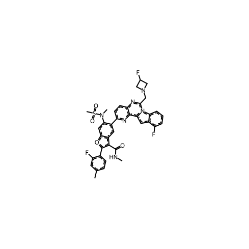 CNC(=O)c1c(-c2ccc(C)cc2F)oc2cc(N(C)S(C)(=O)=O)c(-c3ccc4nc(CN5CC(F)C5)n5c6cccc(F)c6cc5c4n3)cc12